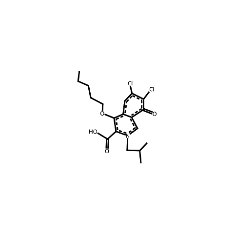 CCCCCOc1c2cc(Cl)c(Cl)c(=O)c-2cn(CC(C)C)c1C(=O)O